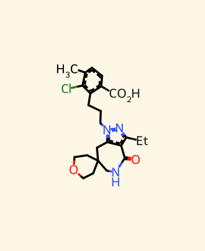 CCc1nn(CCCc2c(C(=O)O)ccc(C)c2Cl)c2c1C(=O)NCC1(CCOCC1)C2